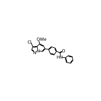 COc1cc(-c2ccc(C(=O)Nc3ccccc3)cc2)cn2ncc(Cl)c12